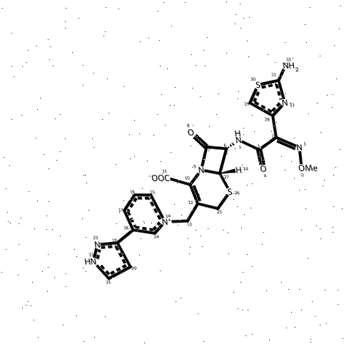 CO/N=C(\C(=O)N[C@H]1C(=O)N2C(C(=O)[O-])=C(C[n+]3cccc(-c4cc[nH]n4)c3)CS[C@@H]12)c1csc(N)n1